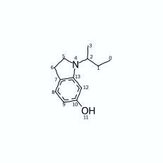 CCC(C)N1CCc2ccc(O)cc21